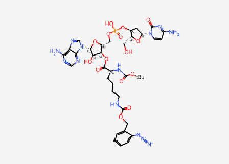 CC(C)(C)OC(=O)N[C@@H](CCCCNC(=O)OCc1ccccc1N=[N+]=[N-])C(=O)O[C@H]1[C@@H](O)[C@H](n2cnc3c(N)ncnc32)O[C@@H]1COP(=O)(O)O[C@H]1C[C@H](n2ccc(N)nc2=O)O[C@@H]1CO